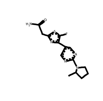 CC1CCCN1c1ncc(-c2nc(CC(N)=O)sc2F)cn1